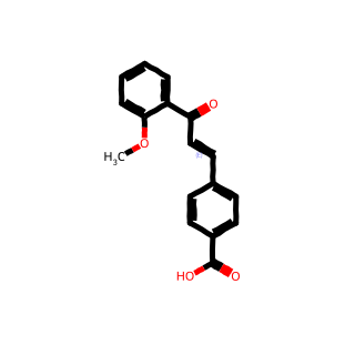 COc1ccccc1C(=O)/C=C/c1ccc(C(=O)O)cc1